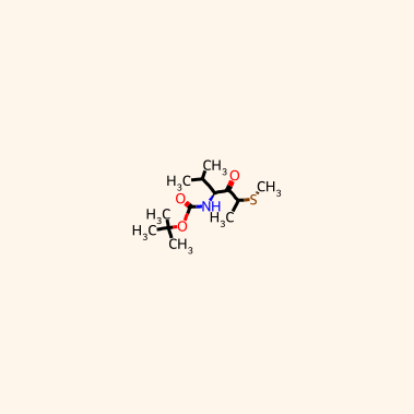 CSC(C)C(=O)[C@@H](NC(=O)OC(C)(C)C)C(C)C